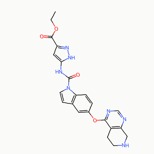 CCOC(=O)c1cc(NC(=O)n2ccc3cc(Oc4ncnc5c4CCNC5)ccc32)[nH]n1